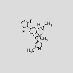 Cc1cc(O[C@@]2(C)CC3C(C)[C@@H]3c3cc(-c4c(F)cccc4F)nnc32)ccn1